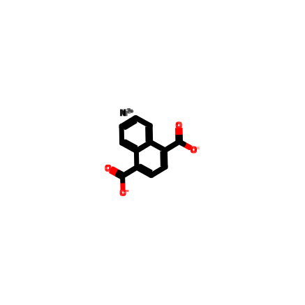 O=C([O-])c1ccc(C(=O)[O-])c2ccccc12.[Ni+2]